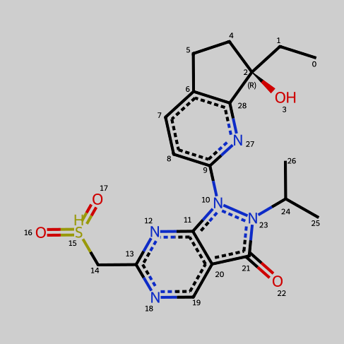 CC[C@@]1(O)CCc2ccc(-n3c4nc(C[SH](=O)=O)ncc4c(=O)n3C(C)C)nc21